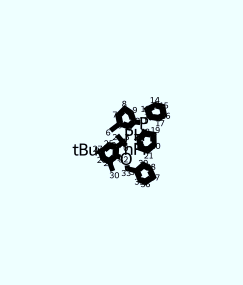 CCCC(C)(Pc1c(C)cccc1P(c1ccccc1)c1ccccc1)c1cc(C(C)(C)C)cc(C)c1OCc1ccccc1